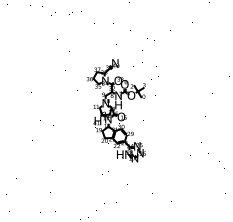 CC(C)(C)OC(=O)NC(CN1C[C@@H]2CC1C(=O)N2C1CCc2cc(-c3nnn[nH]3)ccc21)C(=O)N1CCCC1C#N